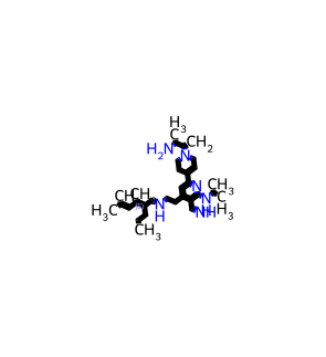 C=C(C(C)N)N1CC=C(c2cc(CCNC/C(CCC)=C(\C)C=C(C)C)c(C=N)c(NC(C)C)n2)CC1